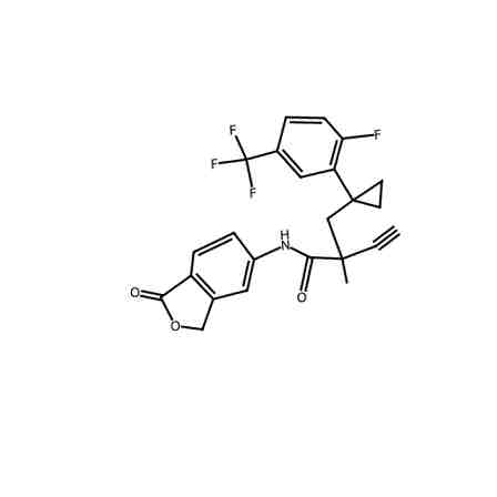 C#CC(C)(CC1(c2cc(C(F)(F)F)ccc2F)CC1)C(=O)Nc1ccc2c(c1)COC2=O